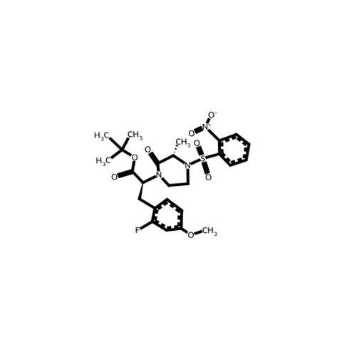 COc1ccc(C[C@@H](C(=O)OC(C)(C)C)N2CCN(S(=O)(=O)c3ccccc3[N+](=O)[O-])[C@@H](C)C2=O)c(F)c1